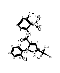 Cc1cccc(NC(=O)c2cc(C(F)(F)F)nn2-c2ccccc2Cl)c1[N+](=O)[O-]